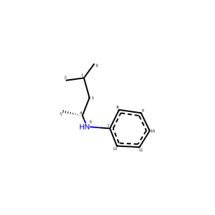 CC(C)C[C@@H](C)Nc1ccccc1